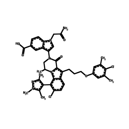 Cc1cc(OCCCc2c3n(c4c(-c5c(C)nn(C)c5C)c(Cl)ccc24)C(C)CN(c2cn(CC(N)=O)c4ccc(C(=O)O)cc24)C3=O)cc(C)c1Cl